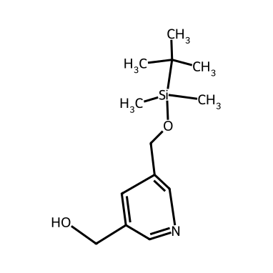 CC(C)(C)[Si](C)(C)OCc1cncc(CO)c1